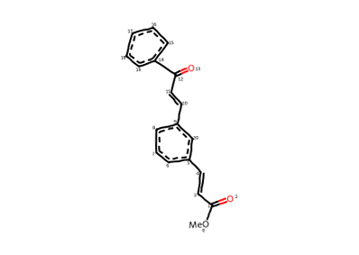 COC(=O)/C=C/c1cccc(/C=C/C(=O)c2ccccc2)c1